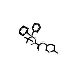 CC1CCC(OC(=O)[C@@H](C)O[Si](c2ccccc2)(c2ccccc2)C(C)(C)C)CO1